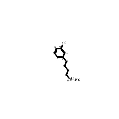 CCCCCCCCCCc1cccc(I)c1